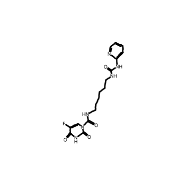 O=C(NCCCCCCNC(=O)n1cc(F)c(=O)[nH]c1=O)Nc1ccccn1